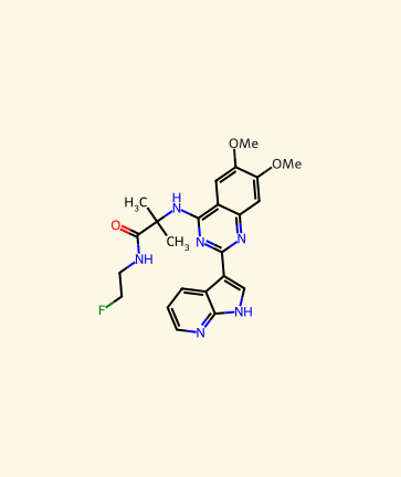 COc1cc2nc(-c3c[nH]c4ncccc34)nc(NC(C)(C)C(=O)NCCF)c2cc1OC